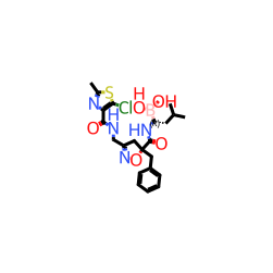 Cc1nc(C(=O)NCC2=NOC(Cc3ccccc3)(C(=O)N[C@@H](CC(C)C)B(O)O)C2)c(Cl)s1